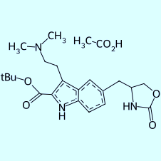 CC(=O)O.CN(C)CCc1c(C(=O)OC(C)(C)C)[nH]c2ccc(CC3COC(=O)N3)cc12